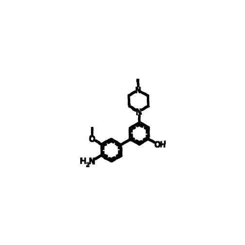 COc1cc(-c2cc(O)cc(N3CCN(C)CC3)c2)ccc1N